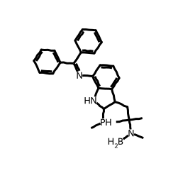 BN(C)C(C)(C)CC1c2cccc(N=C(c3ccccc3)c3ccccc3)c2NC1PC